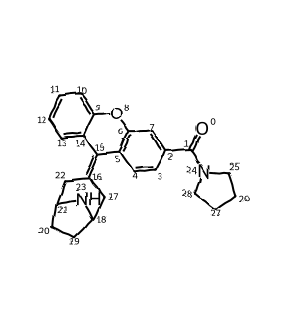 O=C(c1ccc2c(c1)Oc1ccccc1C2=C1CC2CCC(C1)N2)N1CCCC1